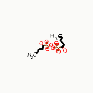 C=CCCC(=O)S(=O)(=O)OOS(=O)(=O)C(=O)CCC=C